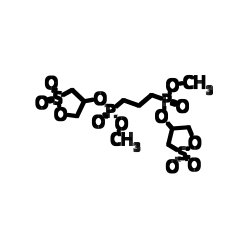 COP(=O)(CCCP(=O)(OC)OC1COS(=O)(=O)C1)OC1COS(=O)(=O)C1